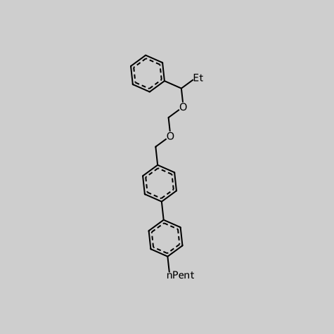 CCCCCc1ccc(-c2ccc(COCOC(CC)c3ccccc3)cc2)cc1